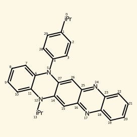 CC(C)c1ccc(N2c3ccccc3N(C(C)C)c3cc4nc5ccccc5nc4cc32)cc1